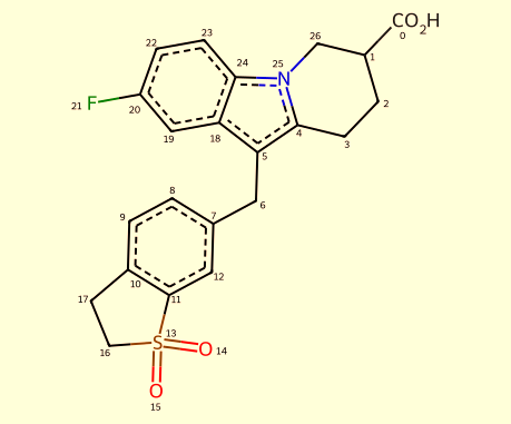 O=C(O)C1CCc2c(Cc3ccc4c(c3)S(=O)(=O)CC4)c3cc(F)ccc3n2C1